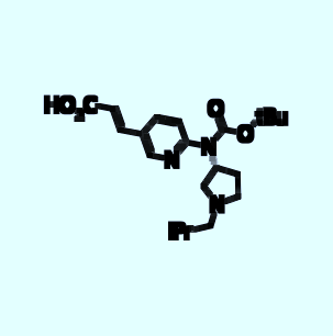 CC(C)CN1CC[C@@H](N(C(=O)OC(C)(C)C)c2ccc(/C=C/C(=O)O)cn2)C1